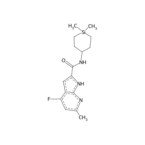 Cc1cc(F)c2cc(C(=O)NC3CC[Si](C)(C)CC3)[nH]c2n1